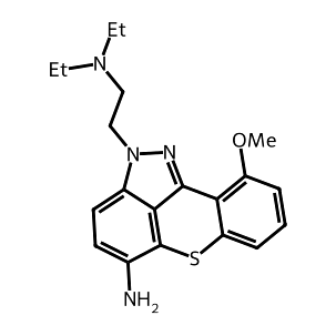 CCN(CC)CCn1nc2c3c(c(N)ccc31)Sc1cccc(OC)c1-2